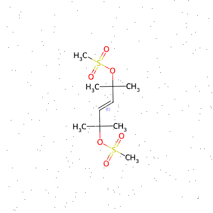 CC(C)(/C=C/C(C)(C)OS(C)(=O)=O)OS(C)(=O)=O